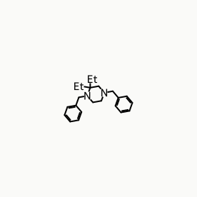 CCC1(CC)CN(Cc2ccccc2)CCN1Cc1ccccc1